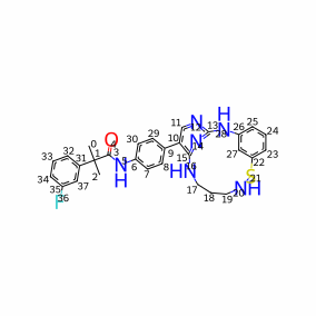 CC(C)(C(=O)Nc1ccc(-c2cnc3nc2NCCCNSc2cccc(c2)N3)cc1)c1cccc(F)c1